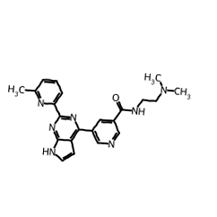 Cc1cccc(-c2nc(-c3cncc(C(=O)NCCN(C)C)c3)c3cc[nH]c3n2)n1